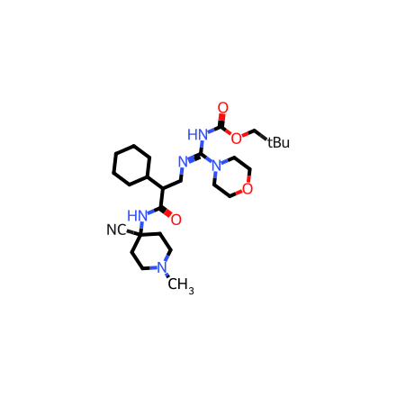 CN1CCC(C#N)(NC(=O)C(CN=C(NC(=O)OCC(C)(C)C)N2CCOCC2)C2CCCCC2)CC1